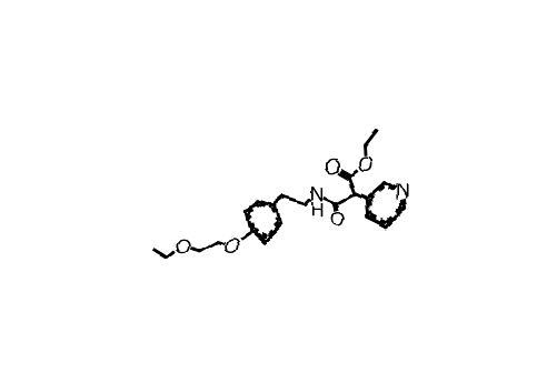 CCOCCOc1ccc(CCNC(=O)C(C(=O)OCC)c2cccnc2)cc1